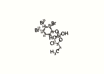 CCC(Cl)O[Si](O)(O)Oc1ccc(Br)c(Br)c1Br